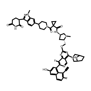 C#Cc1c(F)ccc2cc(O)cc(-c3ncc4c(N5CC6CCC(C5)N6)nc(OC[C@@H]5C[C@@H](NC(=O)C6(C(=O)N7CCC(c8ccc9c(C%10CCC(=O)NC%10=O)nn(C)c9c8)CC7)CC6)CN5C)nc4c3F)c12